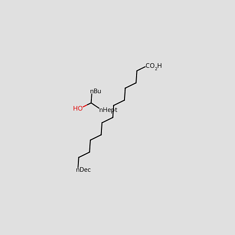 CCCCCCCC(O)CCCC.CCCCCCCCCCCCCCCCCCCCCC(=O)O